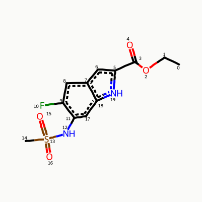 CCOC(=O)c1cc2cc(F)c(NS(C)(=O)=O)cc2[nH]1